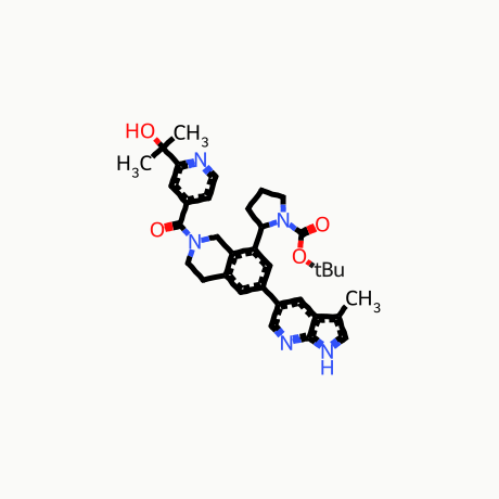 Cc1c[nH]c2ncc(-c3cc4c(c(C5CCCN5C(=O)OC(C)(C)C)c3)CN(C(=O)c3ccnc(C(C)(C)O)c3)CC4)cc12